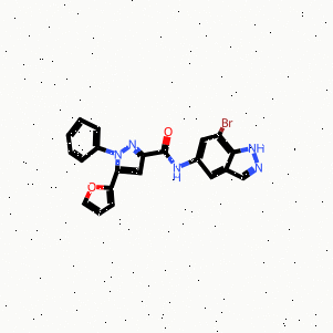 O=C(Nc1cc(Br)c2[nH]ncc2c1)c1cc(-c2ccco2)n(-c2ccccc2)n1